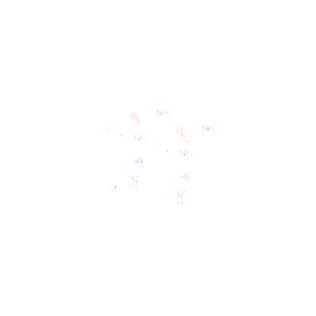 Cc1[nH]cnc1C[C@H](NC(=O)CN)C(=O)[O-].Cc1[nH]cnc1C[C@H](NC(=O)CN)C(=O)[O-].[Mn+2]